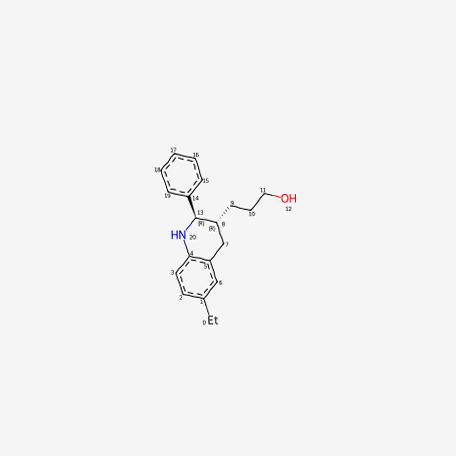 CCc1ccc2c(c1)C[C@@H](CCCO)[C@H](c1ccccc1)N2